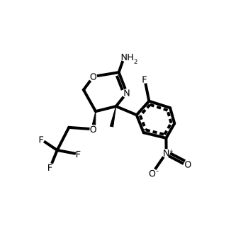 C[C@]1(c2cc([N+](=O)[O-])ccc2F)N=C(N)OC[C@@H]1OCC(F)(F)F